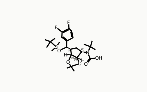 CC1(C)O[C@@H]2[C@H](O1)[C@@H](C(O[Si](C)(C)C(C)(C)C)c1ccc(F)c(F)c1)C[C@H]2N(C(=O)O)C(C)(C)C